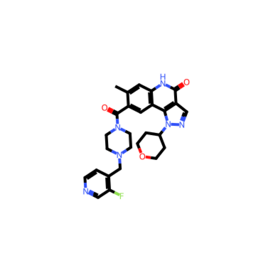 Cc1cc2[nH]c(=O)c3cnn(C4CCOCC4)c3c2cc1C(=O)N1CCN(Cc2ccncc2F)CC1